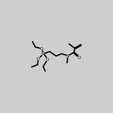 C=C(C)C(=O)N(C)CCC[Si](OCC)(OCC)OCC